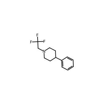 FC(F)(F)CN1CCC(c2ccccc2)CC1